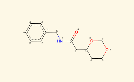 O=C(CC1CCOCO1)NCc1ccccc1